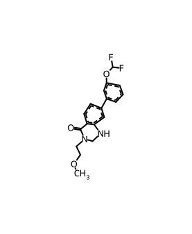 COCCN1CNc2cc(-c3cccc(OC(F)F)c3)ccc2C1=O